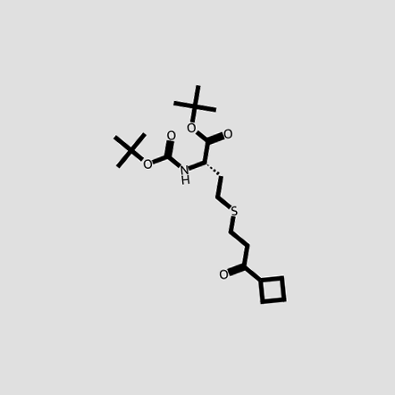 CC(C)(C)OC(=O)N[C@@H](CCSCCC(=O)C1CCC1)C(=O)OC(C)(C)C